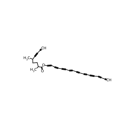 C#CC#CC#CC#CC#CC#CC#CC#CC#COC(=O)C(C)CCC(C)C#CC#C